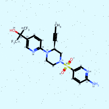 CC#C[C@H]1CN(S(=O)(=O)c2ccc(N)nc2)CCN1c1ccc(C(O)(C(F)(F)F)C(F)(F)F)cn1